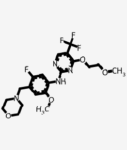 COCCOc1nc(Nc2cc(F)c(CN3CCOCC3)cc2OC)ncc1C(F)(F)F